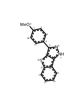 COc1ccc(-c2n[nH]c3c2sc2ccccc23)cc1